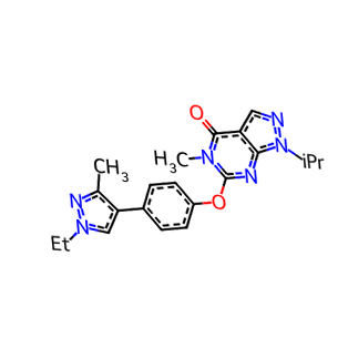 CCn1cc(-c2ccc(Oc3nc4c(cnn4C(C)C)c(=O)n3C)cc2)c(C)n1